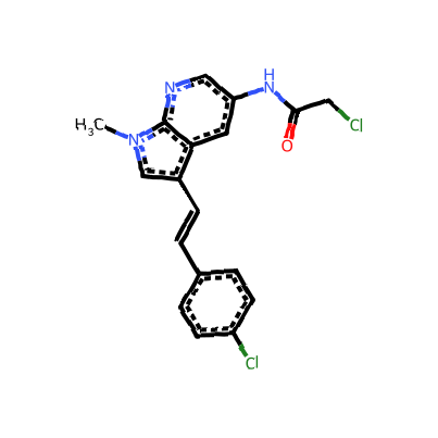 Cn1cc(C=Cc2ccc(Cl)cc2)c2cc(NC(=O)CCl)cnc21